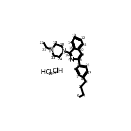 CCCCc1ccc(-c2cc3ccccc3c(N3CCN(CC)CC3)n2)cc1.Cl.Cl